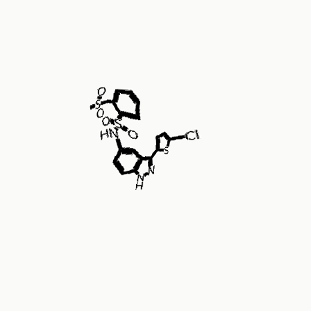 CS(=O)(=O)c1ccccc1S(=O)(=O)Nc1ccc2[nH]nc(-c3ccc(Cl)s3)c2c1